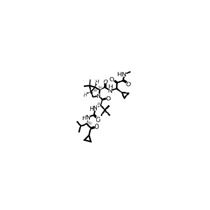 CNC(=O)C(=O)C(NC(=O)[C@@H]1[C@@H]2[C@H](CN1C(=O)[C@@H](NC(=O)N[C@H](C(=O)C1CC1)C(C)C)C(C)(C)C)C2(C)C)C1CC1